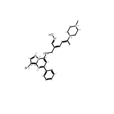 C\C(=C/C=C(\C=N\O)CNc1cc(-c2ccccc2)nc2c(Br)cnn12)N1CCN(C)CC1